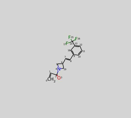 C=CC(=O)N1CC(/C=C/c2cccc(C(F)(F)F)c2)C1